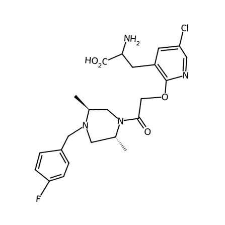 C[C@@H]1CN(Cc2ccc(F)cc2)[C@@H](C)CN1C(=O)COc1ncc(Cl)cc1CC(N)C(=O)O